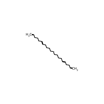 C=CCCC=CCCCC[CH]CCCCC=CCCCC=C